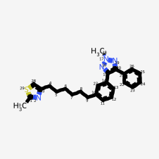 Cc1nc(CCCCCCc2cccc(-c3nn(C)nc3-c3ccccc3)c2)cs1